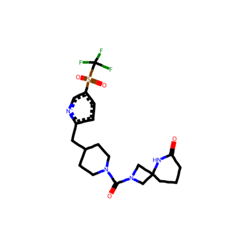 O=C1CCCC2(CN(C(=O)N3CCC(Cc4ccc(S(=O)(=O)C(F)(F)F)cn4)CC3)C2)N1